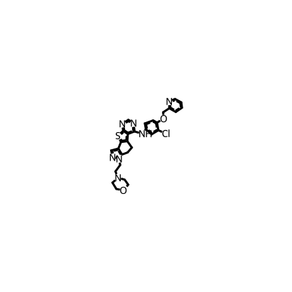 Clc1cc(Nc2ncnc3sc4c(c23)CCc2c-4cnn2CCN2CCOCC2)ccc1OCc1ccccn1